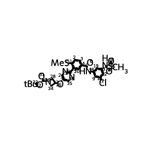 CSc1ccc(C(=O)Nc2cc(Cl)cc(NS(C)(=O)=O)c2)cc1-c1ncc(OC2CN(C(=O)OC(C)(C)C)C2)cn1